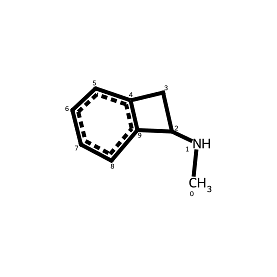 CNC1Cc2ccccc21